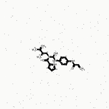 C=CC(=O)Nc1ccc(NC(O)N(CC(C)C(=C)C)C(=O)c2ccc[nH]2)cc1